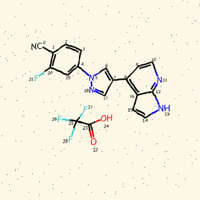 N#Cc1ccc(-n2cc(-c3ccnc4[nH]ccc34)cn2)cc1F.O=C(O)C(F)(F)F